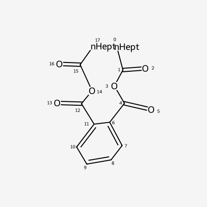 CCCCCCCC(=O)OC(=O)c1ccccc1C(=O)OC(=O)CCCCCCC